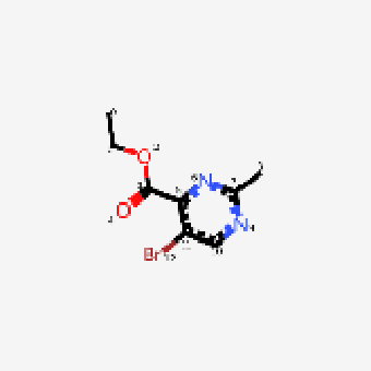 CCOC(=O)c1nc(C)ncc1Br